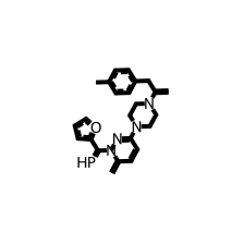 C=C(Cc1ccc(C)cc1)N1CCN(C2=NN(C(=P)c3ccco3)C(=C)C=C2)CC1